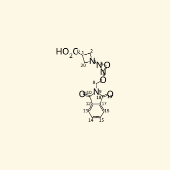 O=C(O)C1CN(n2on2OCN2C(=O)c3ccccc3C2=O)C1